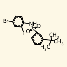 CC(C)(C)c1cccc(S(=O)(=O)Nc2ccc(Br)cc2I)c1